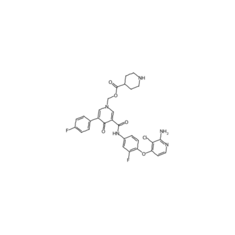 Nc1nccc(Oc2ccc(NC(=O)c3cn(COC(=O)C4CCNCC4)cc(-c4ccc(F)cc4)c3=O)cc2F)c1Cl